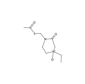 CC[N+]1([O-])CCN(CSC(C)=O)C(=O)C1